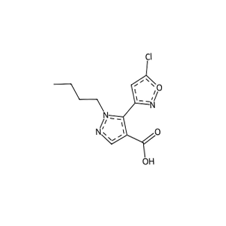 CCCCn1ncc(C(=O)O)c1-c1cc(Cl)on1